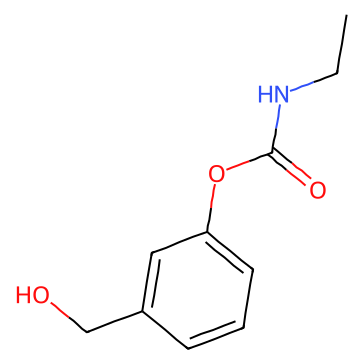 CCNC(=O)Oc1cccc(CO)c1